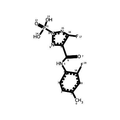 Cc1ccc(NC(=O)c2nn(P(=O)(O)O)nc2F)c(F)c1